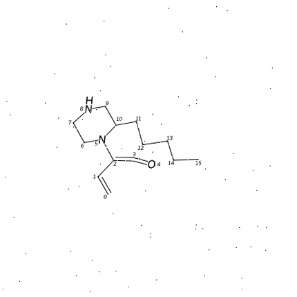 C=CC(=C=O)N1CCNCC1CCCCC